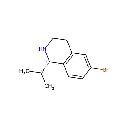 CC(C)[C@@H]1NCCc2cc(Br)ccc21